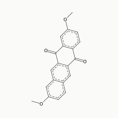 COc1ccc2c(c1)C(=O)c1cc3cc(OC)ccc3cc1C2=O